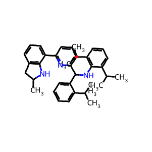 CC1Cc2cccc(-c3cccc(C(Nc4c(C(C)C)cccc4C(C)C)c4ccccc4C(C)C)n3)c2N1